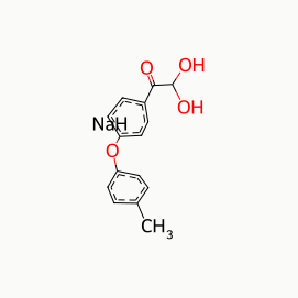 Cc1ccc(Oc2ccc(C(=O)C(O)O)cc2)cc1.[NaH]